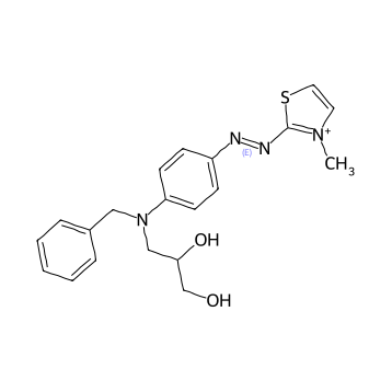 C[n+]1ccsc1/N=N/c1ccc(N(Cc2ccccc2)CC(O)CO)cc1